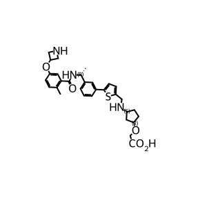 Cc1ccc(OC2CNC2)cc1C(=O)N[C@H](C)c1cccc(-c2ccc(CN[C@H]3CC[C@@H](OCC(=O)O)C3)s2)c1